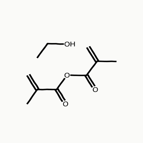 C=C(C)C(=O)OC(=O)C(=C)C.CCO